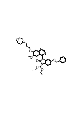 CCOC(OCC)N1C(=O)C(c2ncnc3cc(OCCCN4CCOCC4)c(OC)cc23)c2cc(OCc3ccccc3)ccc21